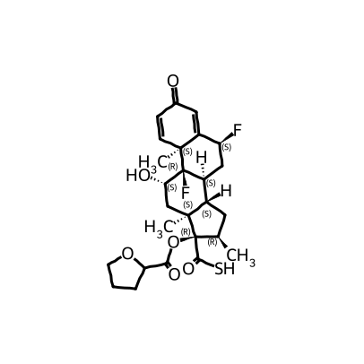 C[C@@H]1C[C@H]2[C@@H]3C[C@H](F)C4=CC(=O)C=C[C@]4(C)[C@@]3(F)[C@@H](O)C[C@]2(C)[C@@]1(OC(=O)C1CCCO1)C(=O)S